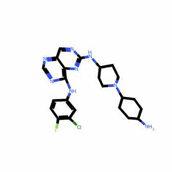 NC1CCC(N2CCC(Nc3ncc4ncnc(Nc5ccc(F)c(Cl)c5)c4n3)CC2)CC1